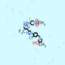 CC1(O)CCN(Cc2ccc(-n3cnc(-c4nc(N[C@H]5CCN(S(C)(=O)=O)C[C@H]5F)ncc4C(F)(F)F)c3)c(Cl)c2)C1